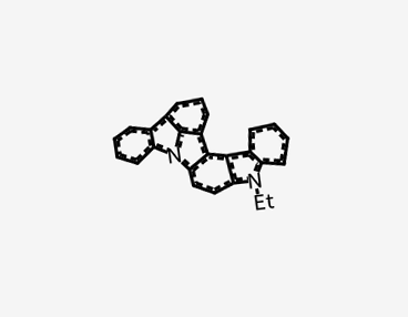 CCn1c2ccccc2c2c3c4cccc5c6ccccc6n(c3ccc21)c54